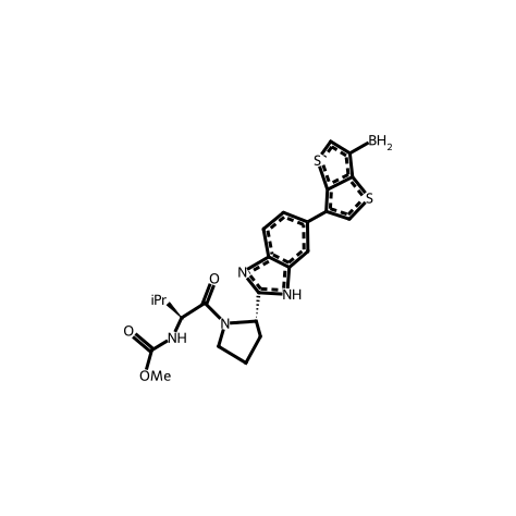 Bc1csc2c(-c3ccc4nc([C@@H]5CCCN5C(=O)[C@@H](NC(=O)OC)C(C)C)[nH]c4c3)csc12